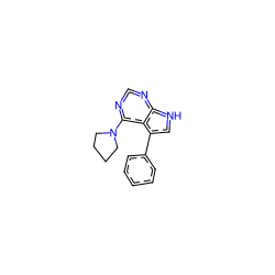 c1ccc(-c2c[nH]c3ncnc(N4CCCC4)c23)cc1